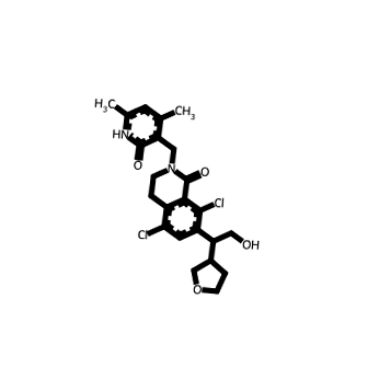 Cc1cc(C)c(CN2CCc3c(Cl)cc(C(CO)C4CCOC4)c(Cl)c3C2=O)c(=O)[nH]1